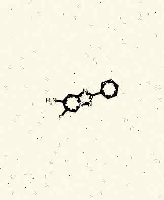 Nc1cc2nc(-c3ccccc3)nn2cc1F